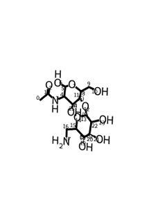 CC(=O)NC1C(O)OC(CO)[C@@H](O[C@@H]2OC(CN)[C@@H](O)[C@H](O)C2O)[C@@H]1O